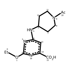 CCOc1nc(NC2CCN(C(C)=O)CC2)cc(C(=O)O)n1